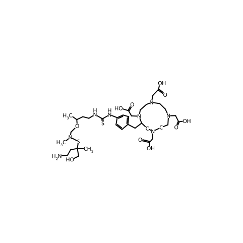 CC(CCNC(=S)Nc1ccc(CC2CN(CC(=O)O)CCN(CC(=O)O)CCN(CC(=O)O)CCN2CC(=O)O)cc1)OCN(C)SC(C)(CO)CCN